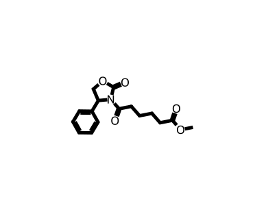 COC(=O)CCCCC(=O)N1C(=O)OCC1c1ccccc1